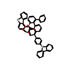 c1ccc(-c2ccccc2-c2c(-c3ccccc3)cccc2N(c2ccc(-c3ccc(-n4c5ccccc5c5ccccc54)cc3)cc2)c2cccc3sc4ccccc4c23)cc1